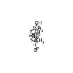 C[C@]12CCC(O)CC1=CC[C@@H]1[C@H]2CC[C@]2(C)C(CCC=O)CC[C@@H]12